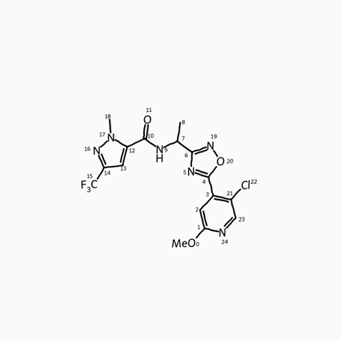 COc1cc(-c2nc(C(C)NC(=O)c3cc(C(F)(F)F)nn3C)no2)c(Cl)cn1